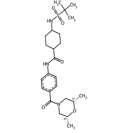 C[C@@H]1CN(C(=O)c2ccc(NC(=O)C3CCC(NS(=O)(=O)C(C)(C)C)CC3)cc2)C[C@H](C)O1